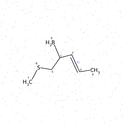 BC(/C=C/C)CSC